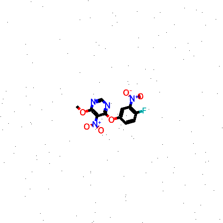 COc1ncnc(Oc2ccc(F)c([N+](=O)[O-])c2)c1[N+](=O)[O-]